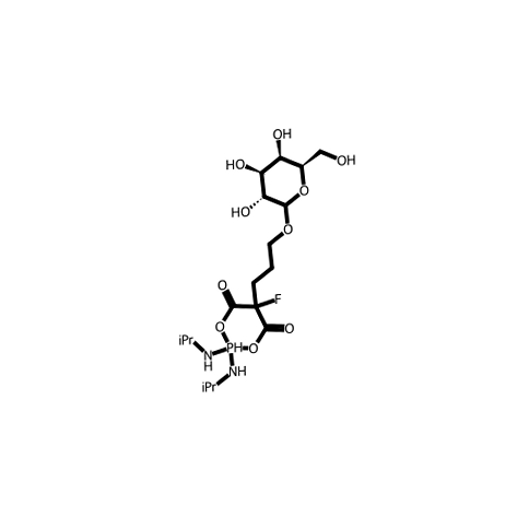 CC(C)N[PH]1(NC(C)C)OC(=O)C(F)(CCCOC2O[C@H](CO)[C@H](O)[C@H](O)[C@H]2O)C(=O)O1